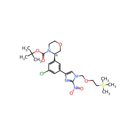 CC(C)(C)OC(=O)N1CCOC[C@H]1c1cc(Cl)cc(-c2cn(COCCS(C)(C)C)c([N+](=O)[O-])n2)c1